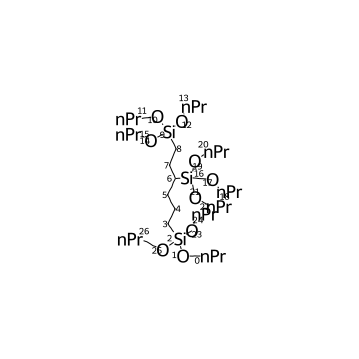 CCCO[Si](CCCC(CC[Si](OCCC)(OCCC)OCCC)[Si](OCCC)(OCCC)OCCC)(OCCC)OCCC